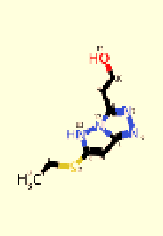 CCSc1cc2nnc(CCO)n2[nH]1